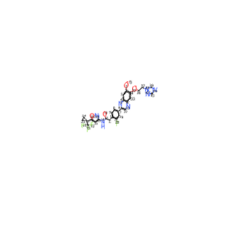 COc1cc2nc(-c3ccc(CC(=O)Nc4cc(C5(C(F)(F)F)CC5)on4)c(F)c3)cnc2cc1OCCn1cncn1